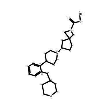 CC(C)(C)OC(=O)N1CC2(CC[C@@H](N3CCC(c4ccccc4CC4CCOCC4)CC3)C2)C1